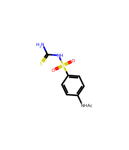 CC(=O)Nc1ccc(S(=O)(=O)NC(N)=S)cc1